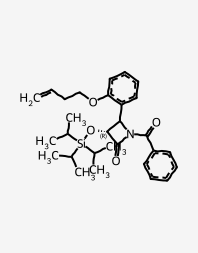 C=CCCOc1ccccc1C1[C@@H](O[Si](C(C)C)(C(C)C)C(C)C)C(=O)N1C(=O)c1ccccc1